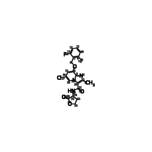 Cc1nc2c(OCc3c(F)cccc3F)cc(Cl)cn2c1C(=O)N[C@H]1CCOC1=O